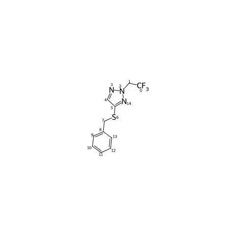 FC(F)(F)Cn1ncc(SCc2ccccc2)n1